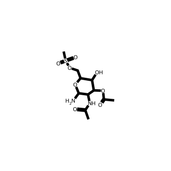 CC(=O)NC1C(N)OC(COS(C)(=O)=O)C(O)C1OC(C)=O